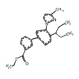 CCOC(=O)c1cccc(-c2ccc(C(CC)CC)c(-n3ccc(C)n3)c2)c1